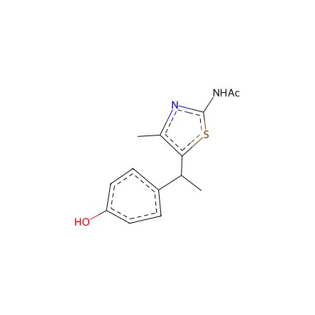 CC(=O)Nc1nc(C)c(C(C)c2ccc(O)cc2)s1